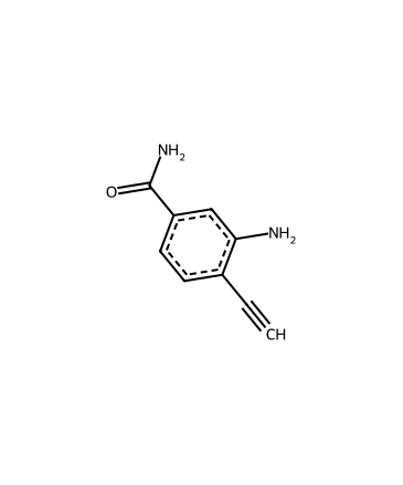 C#Cc1ccc(C(N)=O)cc1N